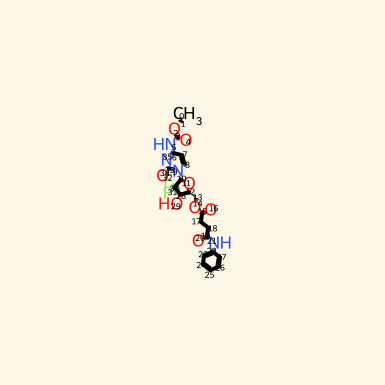 CCOC(=O)Nc1ccn([C@@H]2O[C@H](COC(=O)CCC(=O)Nc3ccccc3)[C@@H](O)C2(F)F)c(=O)n1